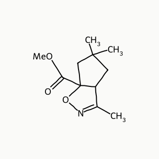 COC(=O)C12CC(C)(C)CC1C(C)=NO2